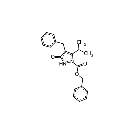 CC(C)c1c(Cc2ccccc2)c(=O)[nH]n1C(=O)OCc1ccccc1